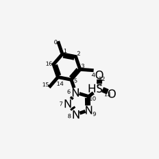 Cc1cc(C)c(-n2nnnc2[SH](=O)=O)c(C)c1